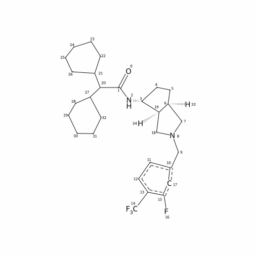 O=C(N[C@@H]1CC[C@H]2CN(Cc3ccc(C(F)(F)F)c(F)c3)C[C@H]21)C(C1CCCCC1)C1CCCCC1